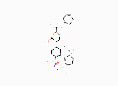 NS(=O)(=O)c1ccc(-c2c(O)cc(C3(Cc4ccccc4)CCCC3)oc2=O)c(CC2CC2)c1-c1ccccc1